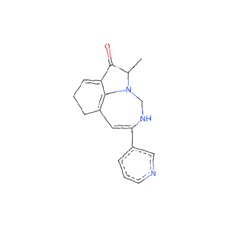 CC1C(=O)C2=CCCC3=C2N1CNC(c1cccnc1)=C3